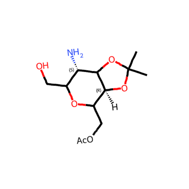 CC(=O)OCC1OC(CO)[C@H](N)C2OC(C)(C)O[C@@H]12